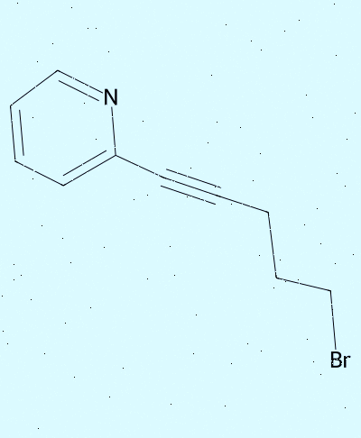 BrCCCC#Cc1ccccn1